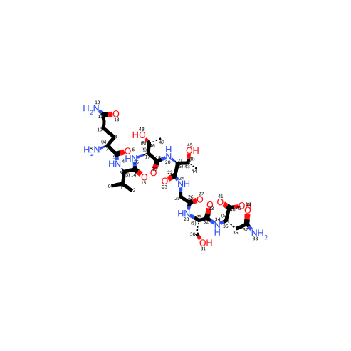 CC(C)[C@H](NC(=O)[C@@H](N)CCC(N)=O)C(=O)N[C@H](C(=O)N[C@H](C(=O)NCC(=O)N[C@@H](CO)C(=O)N[C@@H](CC(N)=O)C(=O)O)[C@@H](C)O)[C@@H](C)O